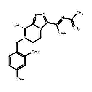 C=C(C)/N=C(\SC)c1nnc2n1CCN(Cc1ccc(OC)cc1OC)[C@@H]2C